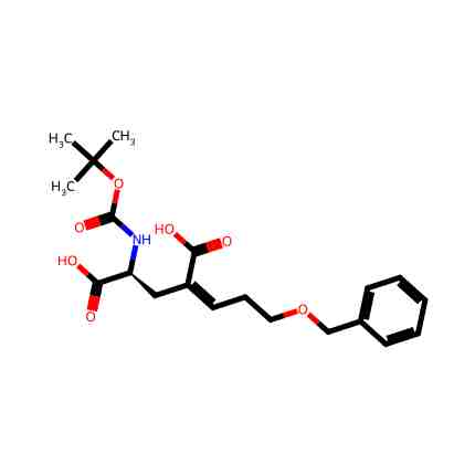 CC(C)(C)OC(=O)N[C@@H](CC(=CCCOCc1ccccc1)C(=O)O)C(=O)O